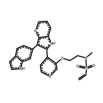 C=CS(=O)(=O)N(C)CCOc1cnccc1-c1[nH]c2cccnc2c1-c1ccc2cc[nH]c2c1